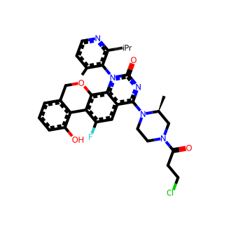 Cc1ccnc(C(C)C)c1-n1c(=O)nc(N2CCN(C(=O)CCCl)C[C@@H]2C)c2cc(F)c3c(c21)OCc1cccc(O)c1-3